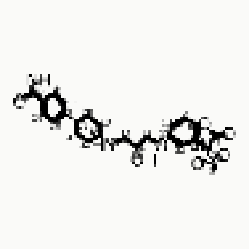 CS(=O)(=O)n1c(=O)oc2ccc(OC[C@@H](O)CN[C@H]3CC[C@H](c4ccc(C(N)=O)cc4)CC3)cc21